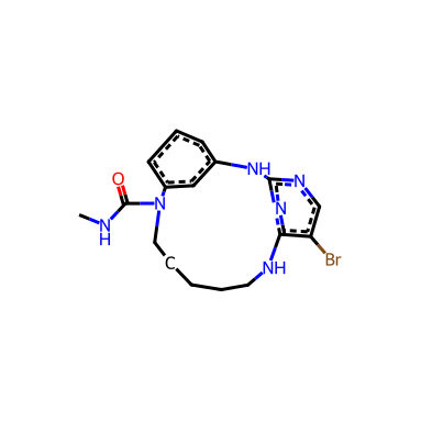 CNC(=O)N1CCCCCNc2nc(ncc2Br)Nc2cccc1c2